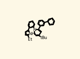 CCc1ccc(-c2ccccc2N2CC=C(C(C)(C)C)C=C2c2cccc(-c3ccccc3)c2)[nH]1